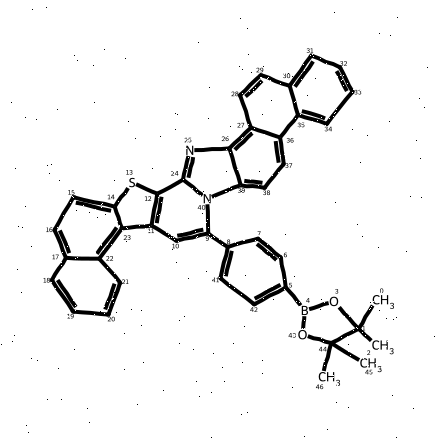 CC1(C)OB(c2ccc(-c3cc4c(sc5ccc6ccccc6c54)c4nc5c6ccc7ccccc7c6ccc5n34)cc2)OC1(C)C